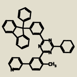 Cc1ccc(-c2cccnc2)cc1-c1nc(C2=CC=CCC2)nc(-c2cccc(C3(c4ccccc4)c4ccccc4-c4ccccc43)c2)n1